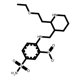 CCOCCC1NCCCC1CNc1ccc(S(N)(=O)=O)cc1[N+](=O)[O-]